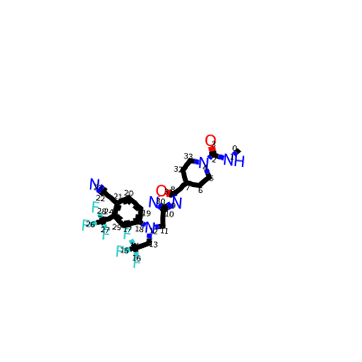 CNC(=O)N1CCC(c2nc(CN(CC(F)(F)F)c3ccc(C#N)c(C(F)(F)F)c3)no2)CC1